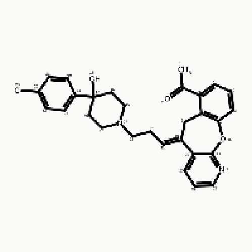 CC(=O)c1cccc2c1CC(=CCCN1CCC(O)(c3ccc(Cl)cc3)CC1)c1cccnc1O2